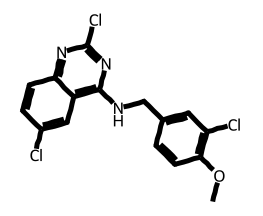 COc1ccc(CNc2nc(Cl)nc3ccc(Cl)cc23)cc1Cl